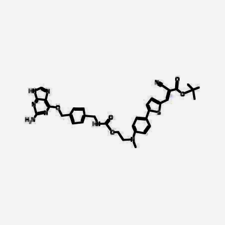 CN(CCOC(=O)NCc1ccc(COc2nc(N)nc3[nH]cnc23)cc1)c1ccc(-c2ccc(/C=C(\C#N)C(=O)OC(C)(C)C)s2)cc1